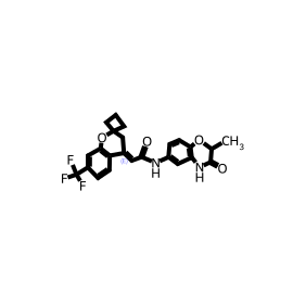 CC1Oc2ccc(NC(=O)/C=C3\CC4(CCC4)Oc4cc(C(F)(F)F)ccc43)cc2NC1=O